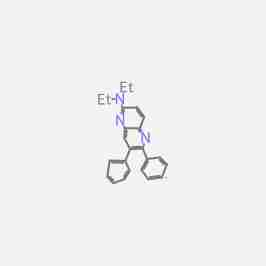 CCN(CC)c1ccc2nc(-c3cc[c]cc3)c(-c3ccccc3)cc2n1